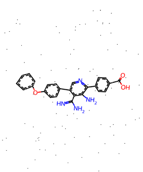 N=C(N)c1c(-c2ccc(Oc3ccccc3)cc2)cnc(-c2ccc(C(=O)O)cc2)c1N